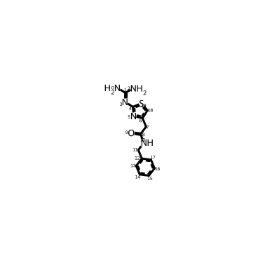 NC(N)=Nc1nc(CC(=O)NCc2ccccc2)cs1